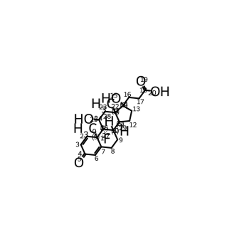 C[C@]12C=CC(=O)C=C1CC[C@H]1[C@@H]3CC[C@](O)(CCC(=O)O)[C@@]3(C)CC(O)[C@@]12F